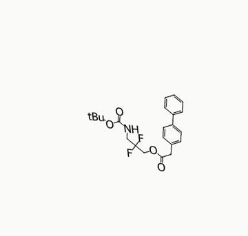 CC(C)(C)OC(=O)NCC(F)(F)COC(=O)Cc1ccc(-c2ccccc2)cc1